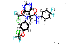 CC(C(=O)NC1CCC(F)(F)CC1)(c1cncnc1)N(C(=O)[C@H](F)Cl)c1ccc(OC(F)(F)Cl)cc1